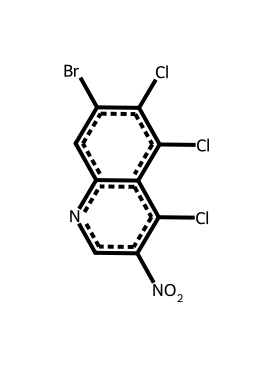 O=[N+]([O-])c1cnc2cc(Br)c(Cl)c(Cl)c2c1Cl